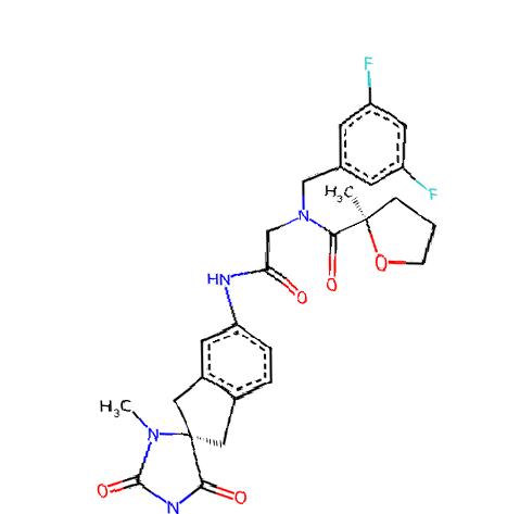 CN1C(=O)NC(=O)[C@@]12Cc1ccc(NC(=O)CN(Cc3cc(F)cc(F)c3)C(=O)[C@@]3(C)CCCO3)cc1C2